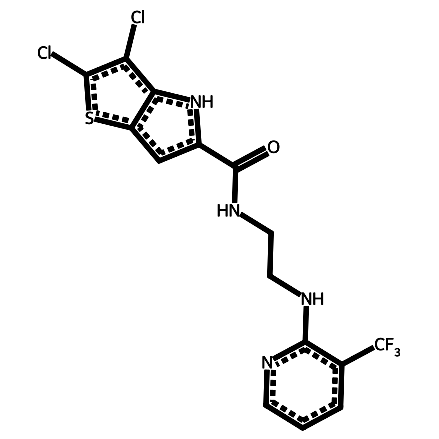 O=C(NCCNc1ncccc1C(F)(F)F)c1cc2sc(Cl)c(Cl)c2[nH]1